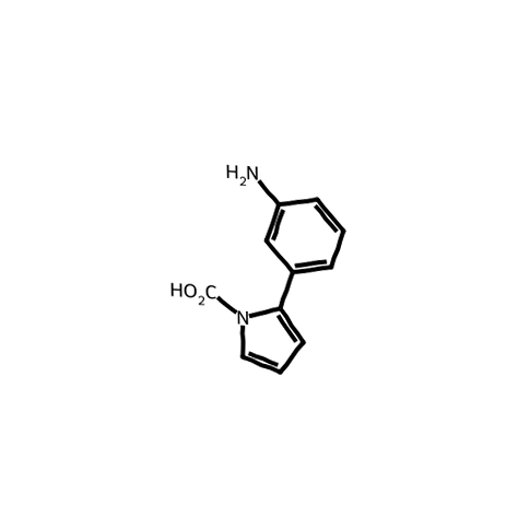 Nc1cccc(-c2cccn2C(=O)O)c1